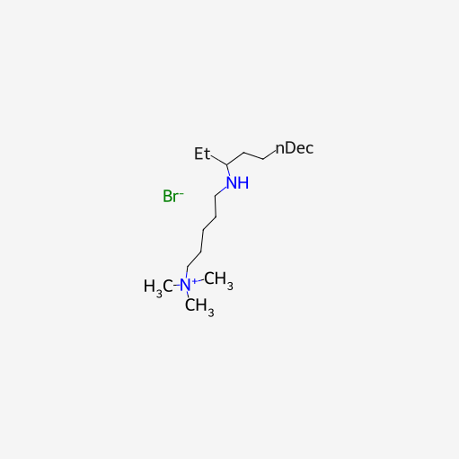 CCCCCCCCCCCCC(CC)NCCCCC[N+](C)(C)C.[Br-]